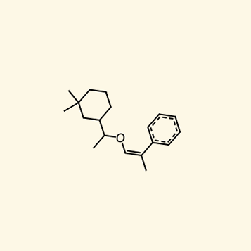 CC(=COC(C)C1CCCC(C)(C)C1)c1ccccc1